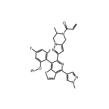 C=CC(=O)N1Cc2cc(-c3nc(-c4cnn(C)c4)c4ccsc4c3-c3c(F)cc(F)cc3OC(C)C)nn2CC1C